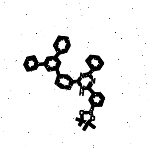 CC1(C)OB(c2cccc(C3=NC(c4ccccc4)=NC(c4cccc(-c5cc(-c6ccccc6)cc(-c6ccccc6)c5)c4)N3)c2)OC1(C)C